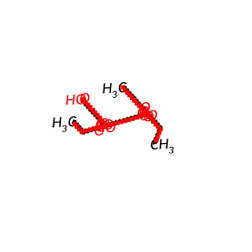 CCCCCCCCC=CCCCCCCCC(=O)OCC(COC(=O)CCCCCCC/C=C\CCCCCCCC)OC(=O)CCCCCCCC=CCCCCCCCC(=O)OCC(COC(=O)CCCCCCC/C=C\CCCCCCCC)OC(=O)CCCCCCCC=CCCCCCCCC(=O)O